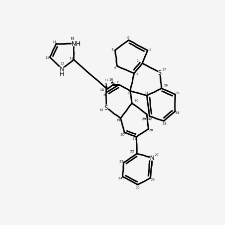 C1=CC2=C(CC1)C1(C3=C(CC(C4NC=CN4)C=C3)SC3C=C(c4ccccn4)CCC31)c1ccccc1S2